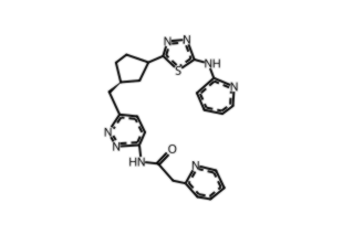 O=C(Cc1ccccn1)Nc1ccc(C[C@H]2CCC(c3nnc(Nc4ccccn4)s3)C2)nn1